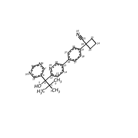 CC(C)(C)C(O)(c1cncnc1)c1ccc(-c2ccc(C3(C#N)CCC3)cc2)cn1